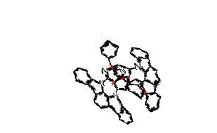 c1ccc(-c2nc(-c3ccccc3)nc(-n3c4ccccc4c4ccc5c6ccccc6n(-c6cccc(C7c8ccccc8-c8ccc9c%10ccccc%10n(-c%10ccccc%10)c9c87)c6)c5c43)n2)cc1